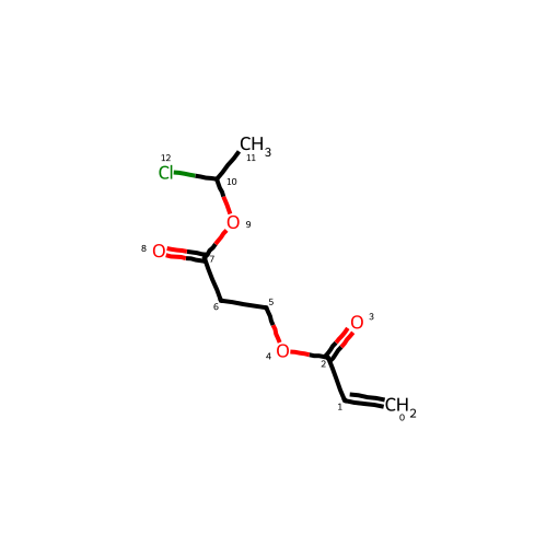 C=CC(=O)OCCC(=O)OC(C)Cl